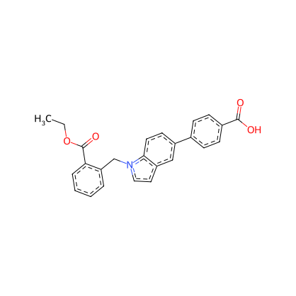 CCOC(=O)c1ccccc1Cn1ccc2cc(-c3ccc(C(=O)O)cc3)ccc21